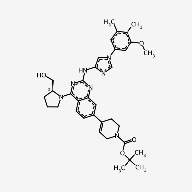 COc1cc(-n2cnc(Nc3nc(N4CCC[C@H]4CO)c4ccc(C5=CCN(C(=O)OC(C)(C)C)CC5)cc4n3)c2)cc(C)c1C